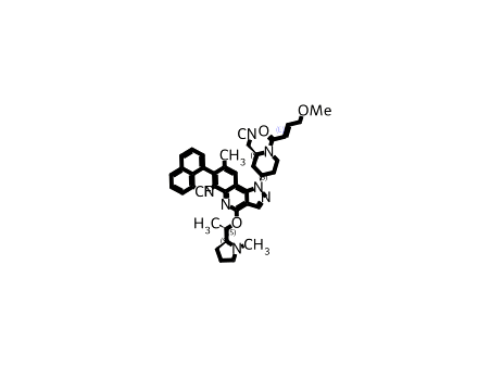 COC/C=C/C(=O)N1CC[C@H](n2ncc3c(O[C@@H](C)[C@@H]4CCCN4C)nc4c(F)c(-c5cccc6cccc(C#N)c56)c(C)cc4c32)C[C@H]1CC#N